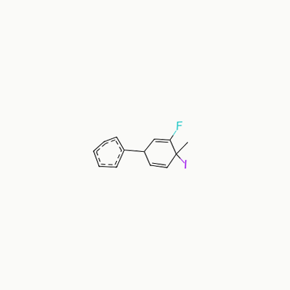 CC1(I)C=CC(c2ccccc2)C=C1F